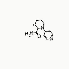 NC(=O)C1[C]CCCN1c1ccncc1